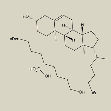 CC(C)CCCC(C)[C@H]1CC[C@H]2[C@@H]3CC=C4C[C@@H](O)CC[C@]4(C)[C@H]3CC[C@]12C.CCCCCCCCCCCCCCCCCCO.O=C(O)O